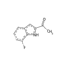 CC(=O)c1cc2cccc(F)c2[nH]1